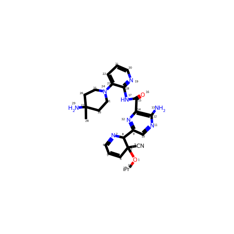 CC(C)OC1(C#N)C=CC=NC1c1cnc(N)c(C(=O)Nc2ncccc2N2CCC(C)(N)CC2)n1